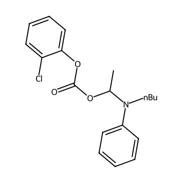 CCCCN(c1ccccc1)C(C)OC(=O)Oc1ccccc1Cl